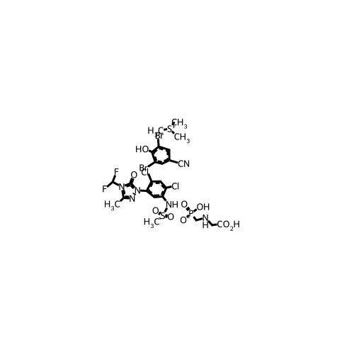 C[S+](C)C.Cc1nn(-c2cc(NS(C)(=O)=O)c(Cl)cc2Cl)c(=O)n1C(F)F.N#Cc1cc(Br)c(O)c(Br)c1.O=C(O)CNCP(=O)([O-])O